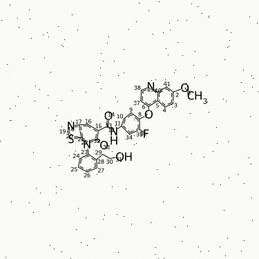 COc1ccc2c(Oc3ccc(NC(=O)c4cc5ncsc5n(-c5ccccc5CCO)c4=O)cc3F)ccnc2c1